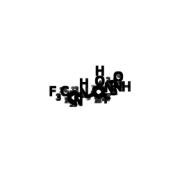 O=C1CN(c2c(O)cc(CNc3cc(C(F)(F)F)ccn3)cc2F)SN1